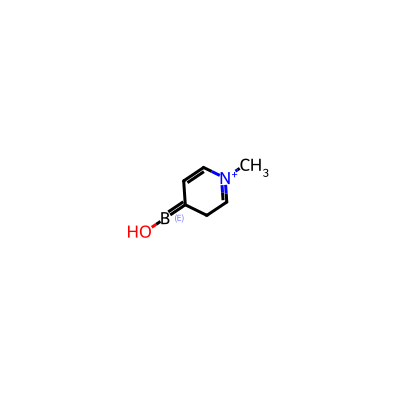 C[N+]1=CC/C(=B\O)C=C1